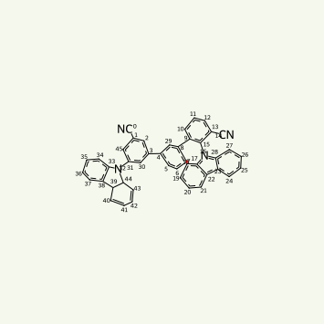 N#Cc1cc(-c2cccc(-c3cccc(C#N)c3-n3c4ccccc4c4ccccc43)c2)cc(N2c3ccccc3C3C=CC=CC32)c1